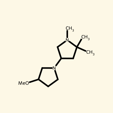 COC1CCN(C2CN(C)C(C)(C)C2)C1